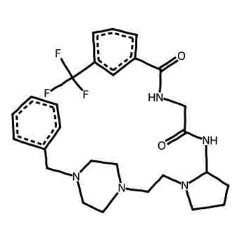 O=C(CNC(=O)c1cccc(C(F)(F)F)c1)NC1CCCN1CCN1CCN(Cc2ccccc2)CC1